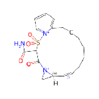 NC(=O)C1C(=O)[N+]2C[C@@H]2/C=C\CCCCCCc2cccc[n+]2S1(=O)=O